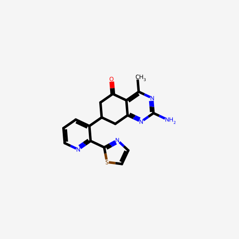 Cc1nc(N)nc2c1C(=O)CC(c1cccnc1-c1nccs1)C2